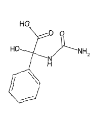 NC(=O)NC(O)(C(=O)O)c1ccccc1